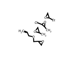 C=CCOCC1CO1.CC1CO1.CC1OC1Cl.CCC1CO1